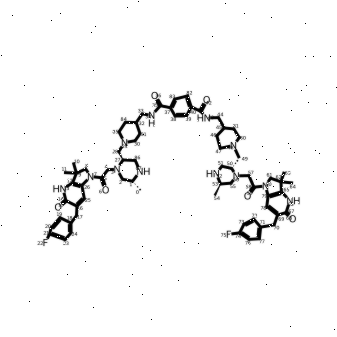 C[C@@H]1CN(CC(=O)N2CC(C)(C)c3[nH]c(=O)c(Cc4ccc(F)cc4)cc32)[C@@H](CN2CCC(CNC(=O)c3ccc(C(=O)NCC4CCN(C[C@H]5CN[C@H](C)CN5CC(=O)N5CC(C)(C)c6[nH]c(=O)c(Cc7ccc(F)cc7)cc65)CC4)cc3)CC2)CN1